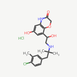 Cc1cc(CC(C)(C)NCC(O)c2cc(O)cc3c2OCC(=O)N3)ccc1Cl.Cl